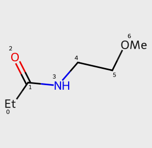 CCC(=O)NCCOC